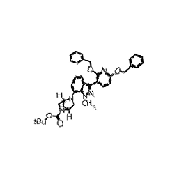 Cn1nc(-c2ccc(OCc3ccccc3)nc2OCc2ccccc2)c2cccc(N3C[C@H]4C[C@@H]3CN4C(=O)OC(C)(C)C)c21